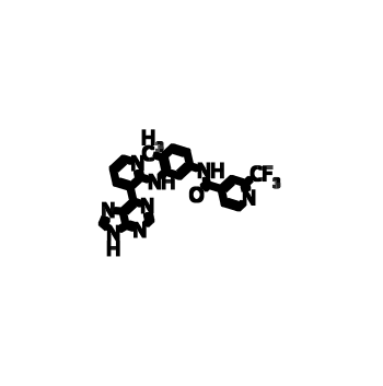 Cc1ccc(NC(=O)c2ccnc(C(F)(F)F)c2)cc1Nc1ncccc1-c1ncnc2[nH]cnc12